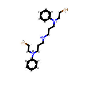 SCCN(CCCNCCCN(CCS)c1ccccc1)c1ccccc1